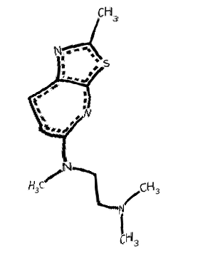 Cc1nc2ccc(N(C)CCN(C)C)nc2s1